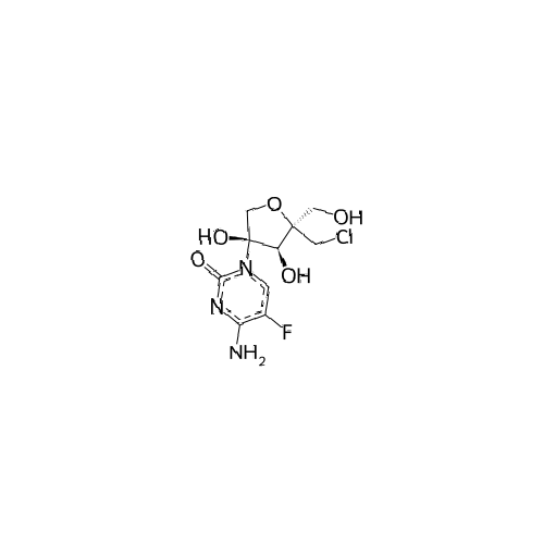 Nc1nc(=O)n([C@]2(O)CO[C@@](CO)(CCl)[C@H]2O)cc1F